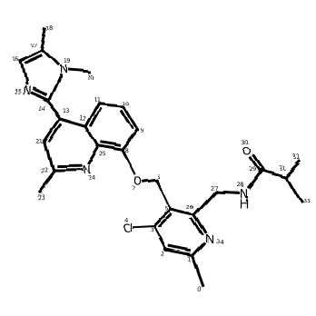 Cc1cc(Cl)c(COc2cccc3c(-c4ncc(C)n4C)cc(C)nc23)c(CNC(=O)C(C)C)n1